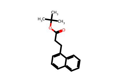 CC(C)(C)OC(=O)CCc1cccc2ccccc12